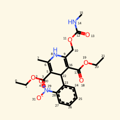 CCOC(=O)C1=C(C)NC(COC(=O)NC)=C(C(=O)OCC)C1c1ccccc1[N+](=O)[O-]